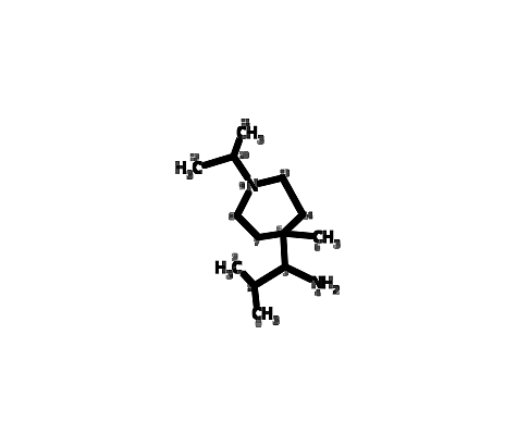 CC(C)C(N)C1(C)CCN(C(C)C)CC1